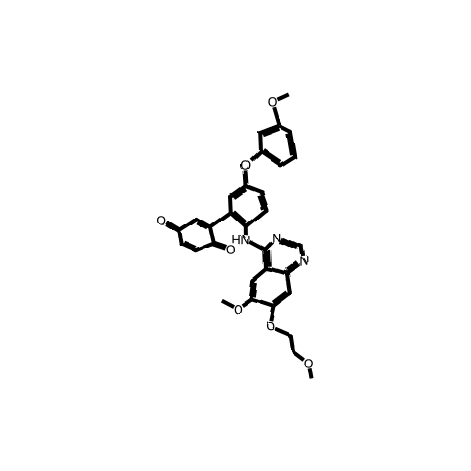 COCCOc1cc2ncnc(Nc3ccc(Oc4cccc(OC)c4)cc3C3=CC(=O)C=CC3=O)c2cc1OC